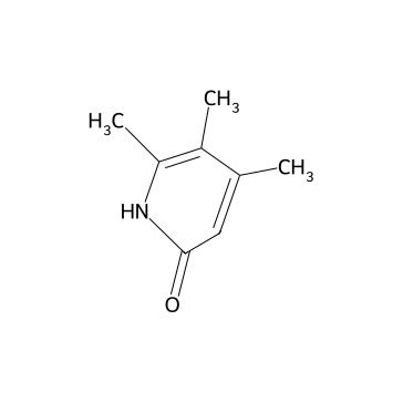 Cc1cc(=O)[nH]c(C)c1C